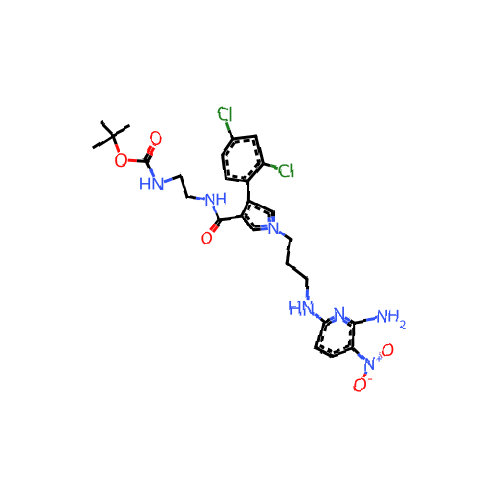 CC(C)(C)OC(=O)NCCNC(=O)c1cn(CCCNc2ccc([N+](=O)[O-])c(N)n2)cc1-c1ccc(Cl)cc1Cl